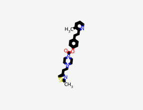 Cc1nc(CCN2CCN(C(=O)Oc3ccc(CCc4ncccc4C)cc3)CC2)cs1